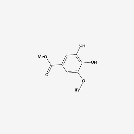 COC(=O)c1cc(O)c(O)c(OC(C)C)c1